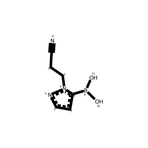 N#CCCn1nccc1B(O)O